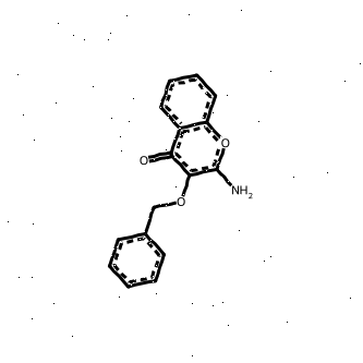 Nc1oc2ccccc2c(=O)c1OCc1ccccc1